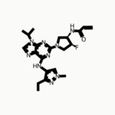 C=CC(=O)N[C@@H]1CN(c2nc(Nc3cn(C)nc3CC)c3ncn(C(C)C)c3n2)C[C@@H]1F